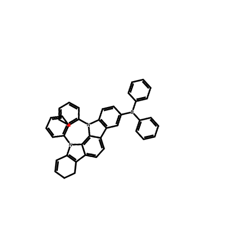 C1=Cc2c(c3ccc4c5cc(B(c6ccccc6)c6ccccc6)ccc5n(-c5ccccc5)c4c3n2-c2ccccc2)CC1